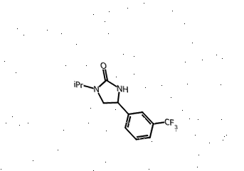 CC(C)N1CC(c2cccc(C(F)(F)F)c2)NC1=O